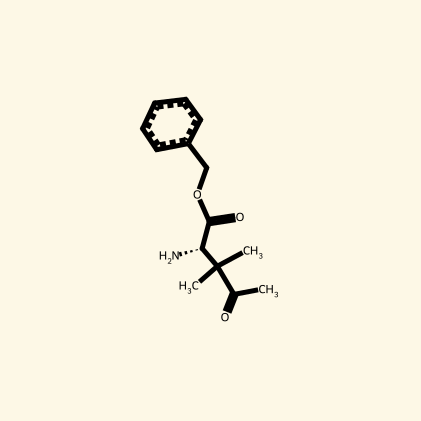 CC(=O)C(C)(C)[C@H](N)C(=O)OCc1ccccc1